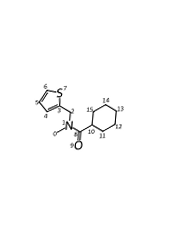 CN(Cc1cccs1)C(=O)C1CCCCC1